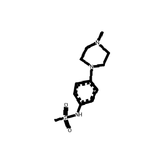 CN1CCN(c2ccc(NS(C)(=O)=O)cc2)CC1